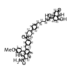 COc1cccc(Nc2c(C(N)=O)cnc3c(C)cc(Cc4cccc(C(=O)N5CCC(c6ccc(CCCCNC[C@H](O)c7ccc(O)c8[nH]c(=O)ccc78)cc6)CC5)c4)cc23)c1